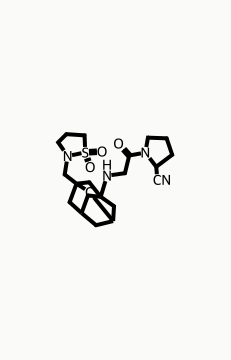 N#CC1CCCN1C(=O)CNC12CC3CC(CC(CN4CCCS4(=O)=O)(C3)C1)C2